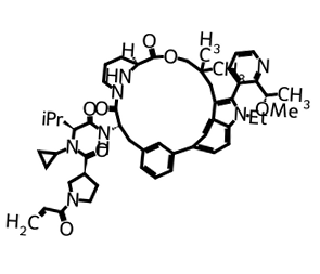 C=CC(=O)N1CC[C@H](C(=O)N(C2CC2)[C@H](C(=O)N[C@H]2Cc3cccc(c3)-c3ccc4c(c3)c(c(-c3cccnc3[C@H](C)OC)n4CC)CC(C)(C)COC(=O)[C@@H]3CCCN(N3)C2=O)C(C)C)C1